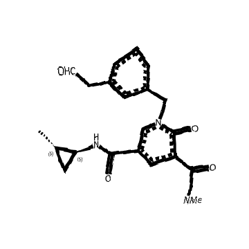 CNC(=O)c1cc(C(=O)N[C@H]2C[C@@H]2C)cn(Cc2cccc(CC=O)c2)c1=O